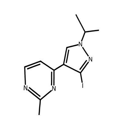 Cc1nccc(-c2cn(C(C)C)nc2I)n1